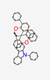 c1ccc(-c2ccc(-c3ccccc3)c3c2Oc2cccc(-c4ccc5c(c4)c4ccccc4n5-c4ccccc4)c2C32c3ccccc3Oc3ccccc32)cc1